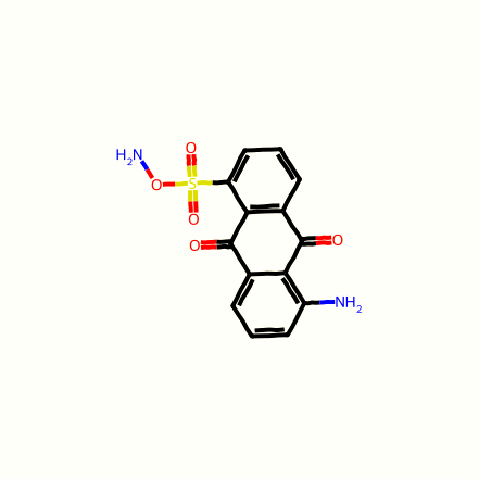 NOS(=O)(=O)c1cccc2c1C(=O)c1cccc(N)c1C2=O